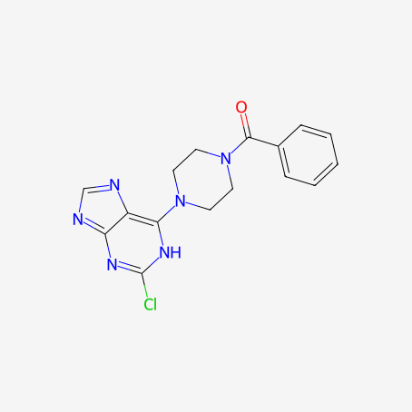 O=C(c1ccccc1)N1CCN(c2[nH]c(Cl)nc3ncnc2-3)CC1